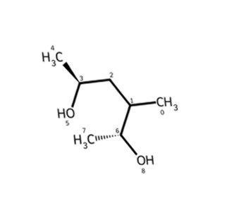 CC(C[C@H](C)O)[C@@H](C)O